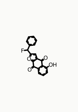 O=C1c2cccc(O)c2C(=O)c2cc(C(F)c3ccccc3)oc21